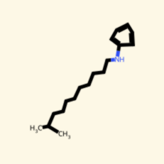 CC(C)CCCCCCCCCNc1ccccc1